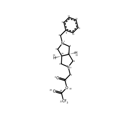 O=C(CN1C[C@@H]2CN(Cc3ccccc3)C[C@@H]2C1)OC(=O)C(F)(F)F